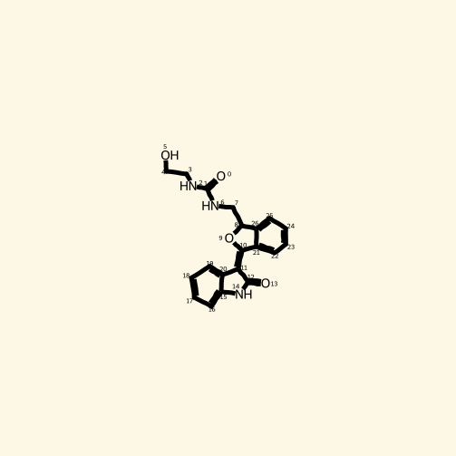 O=C(NCCO)NCC1OC(=C2C(=O)Nc3ccccc32)c2ccccc21